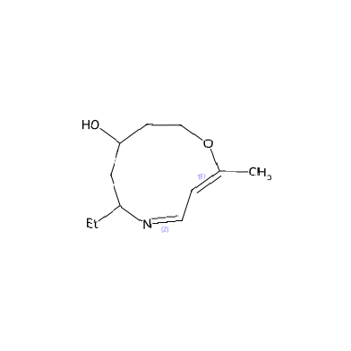 CCC1CC(O)CCO/C(C)=C/C=N\1